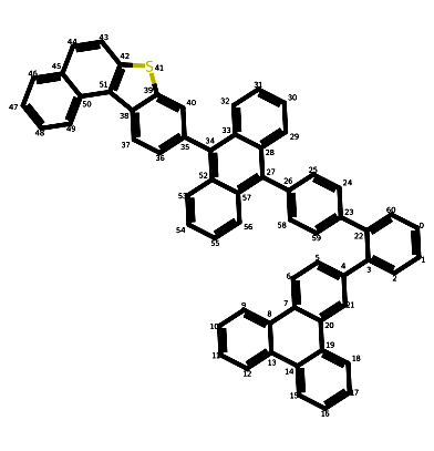 c1ccc(-c2ccc3c4ccccc4c4ccccc4c3c2)c(-c2ccc(-c3c4ccccc4c(-c4ccc5c(c4)sc4ccc6ccccc6c45)c4ccccc34)cc2)c1